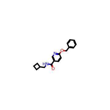 O=C(NCC1CCC1)c1ccc(OCc2ccccc2)nc1